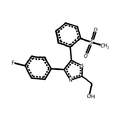 CS(=O)(=O)c1ccccc1-c1sc(CO)nc1-c1ccc(F)cc1